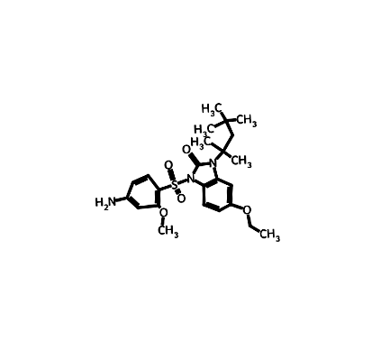 CCOc1ccc2c(c1)n(C(C)(C)CC(C)(C)C)c(=O)n2S(=O)(=O)c1ccc(N)cc1OC